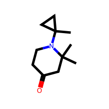 CC1(C)CC(=O)CCN1C1(C)CC1